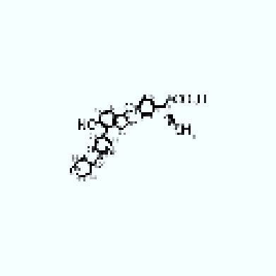 CC#C[C@@H](CC(=O)O)c1ccc(O[C@@H]2CCc3c2ccc(C#N)c3-c2ccc(OC3CCOCC3)nc2)cc1